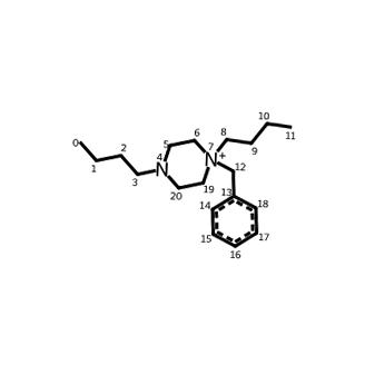 CCCCN1CC[N+](CCCC)(Cc2ccccc2)CC1